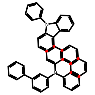 c1ccc(-c2cccc(N(c3ccccc3-c3ccccc3)c3ccccc3-c3cccc(-c4cccc5c4c4ccccc4n5-c4ccccc4)c3)c2)cc1